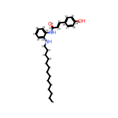 CCCCCCCCCCCCCCNc1ccccc1NC(=O)C=Cc1ccc(O)cc1